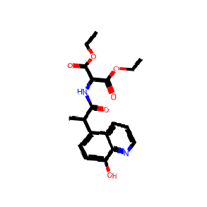 CCOC(=O)C(NC(=O)C(C)c1ccc(O)c2ncccc12)C(=O)OCC